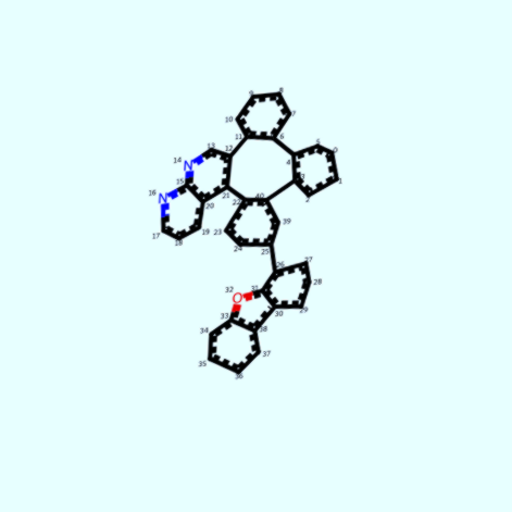 c1ccc2c(c1)-c1ccccc1-c1cnc3ncccc3c1-c1ccc(-c3cccc4c3oc3ccccc34)cc1-2